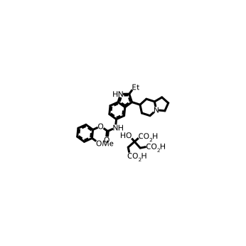 CCc1[nH]c2ccc(NC(=O)Oc3ccccc3OC)cc2c1C1CCN2CCCC2C1.O=C(O)CC(O)(CC(=O)O)C(=O)O